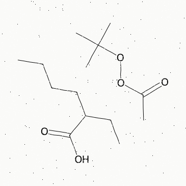 CC(=O)OOC(C)(C)C.CCCCC(CC)C(=O)O